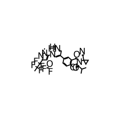 CC(C)C(=O)N(C(=O)c1cc(/C(C=N)=C/Nc2c(OC(F)F)c(C(F)(F)C(C)(F)F)nn2C)ccc1Cl)C1(C#N)CC1